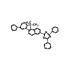 CC1(C)c2ccc(-c3ccccc3)cc2-c2ccc3cc(-c4nc(-c5ccccc5)nc(-c5ccccc5)n4)ccc3c21